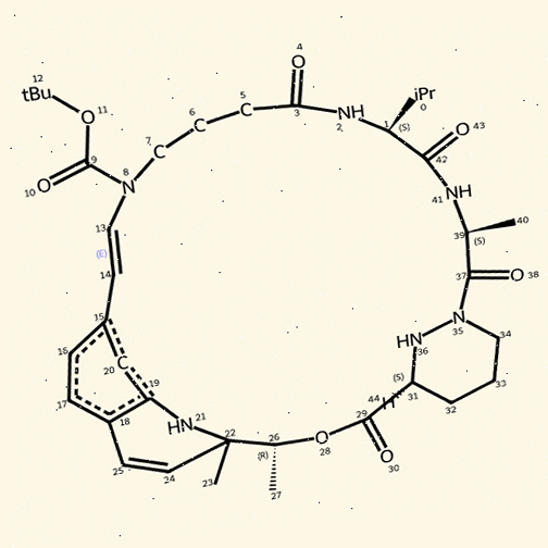 CC(C)[C@@H]1NC(=O)CCCN(C(=O)OC(C)(C)C)/C=C/c2ccc3c(c2)NC(C)(C=C3)[C@@H](C)OC(=O)[C@@H]2CCCN(N2)C(=O)[C@H](C)NC1=O